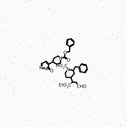 CCOC(=O)C(CC=O)C1CCN(C(=O)O)C(Cc2ccccc2)C1.O=C(OCc1ccccc1)N1CCC(c2ccn[nH]c2=O)CC1